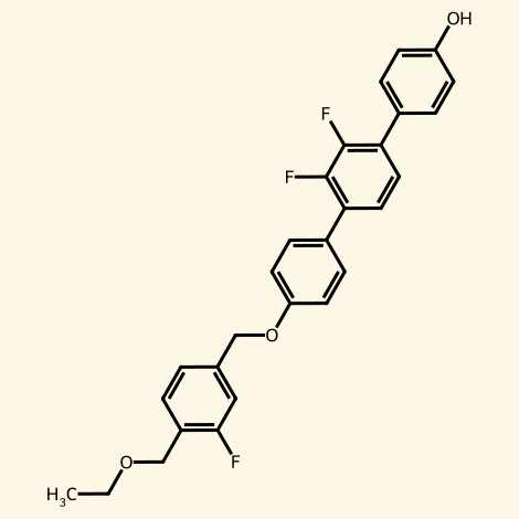 CCOCc1ccc(COc2ccc(-c3ccc(-c4ccc(O)cc4)c(F)c3F)cc2)cc1F